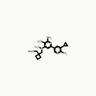 COCC1(CN(C)c2cc(-c3cnc(C(F)(F)F)c(C4CC4)c3)nc(N)c2N)CCC1